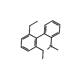 CCc1cccc(CC)c1-c1ccccc1N(C)C